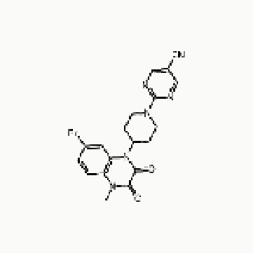 Cn1c(=O)c(=O)n(C2CCN(c3ncc(C#N)cn3)CC2)c2cc(Br)ccc21